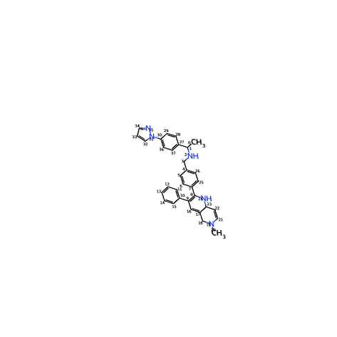 CC(NCc1ccc(C2=C(c3ccccc3)C=C3CN(C)C=CC3N2)cc1)c1ccc(-n2cccn2)cc1